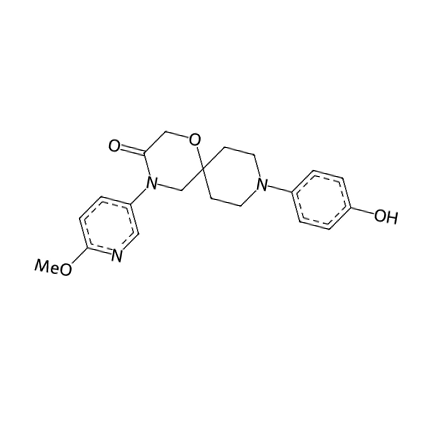 COc1ccc(N2CC3(CCN(c4ccc(O)cc4)CC3)OCC2=O)cn1